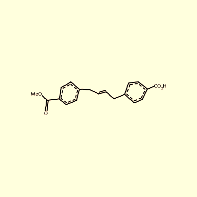 COC(=O)c1ccc(CC=CCc2ccc(C(=O)O)cc2)cc1